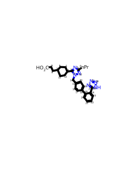 CCCc1nc(C2CCC(CCC(=O)O)CC2)n(Cc2ccc(-c3ccccc3-c3nnn[nH]3)cc2)n1